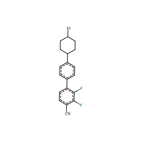 CCC1CCC(c2ccc(-c3ccc(C#N)c(F)c3F)cc2)CC1